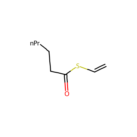 C=CSC(=O)CCCCC